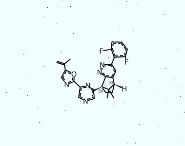 C=C(C)c1cnc(-c2cncc([C@@]34CC[C@@H](c5cc(-c6c(F)cccc6F)nnc53)C4(C)C)n2)o1